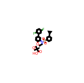 O=C(O)C1(C[C@H]2CN(S(=O)(=O)c3cccc(C4CC4)c3)c3cc(-c4cc(F)ccc4F)ccc3O2)COC1